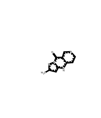 Cc1cc2[nH]c3ccncc3c(=O)n2n1